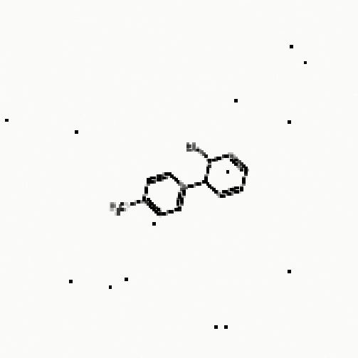 CCC1C=CC=CC1c1ccc(C(F)(F)F)cc1